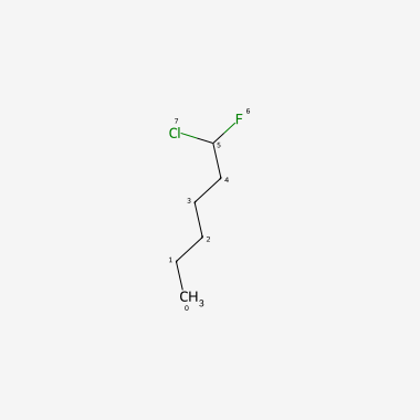 CCCCCC(F)Cl